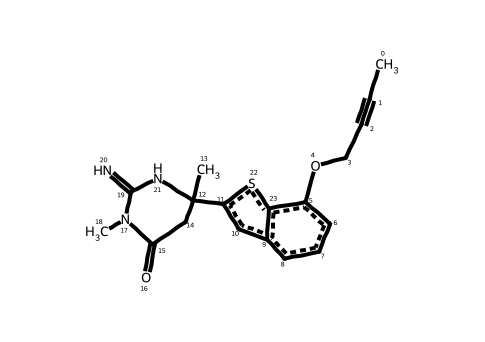 CC#CCOc1cccc2cc(C3(C)CC(=O)N(C)C(=N)N3)sc12